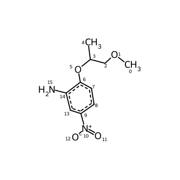 COCC(C)Oc1ccc([N+](=O)[O-])cc1N